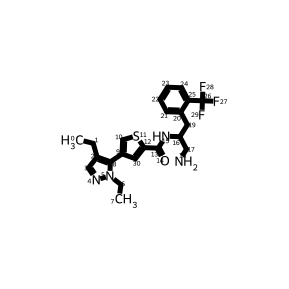 CCc1cnn(CC)c1-c1csc(C(=O)NC(CN)Cc2ccccc2C(F)(F)F)c1